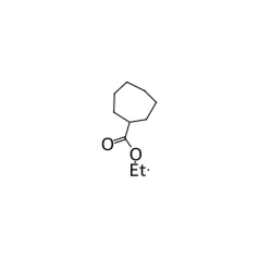 C[CH]OC(=O)C1CCCCCC1